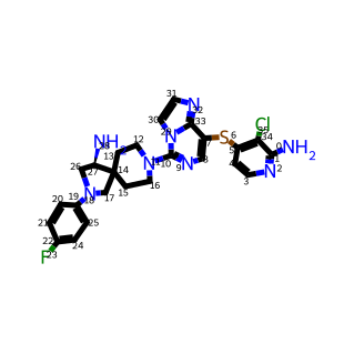 Nc1nccc(Sc2cnc(N3CCC4(CC3)CN(c3ccc(F)cc3)C[C@H]4N)n3ccnc23)c1Cl